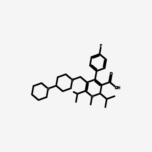 CC(C)C1=C(CN2CCC(N3CCCCC3)CC2)C(c2ccc(F)cc2)=C(C(=O)O)C(C(C)C)N1C